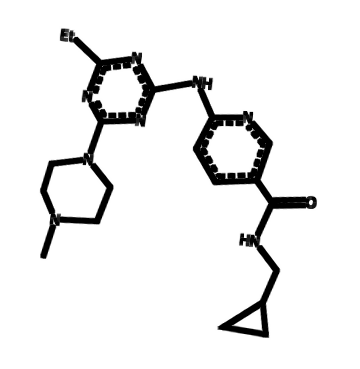 CCc1nc(Nc2ccc(C(=O)NCC3CC3)cn2)nc(N2CCN(C)CC2)n1